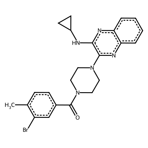 Cc1ccc(C(=O)N2CCN(c3nc4ccccc4nc3NC3CC3)CC2)cc1Br